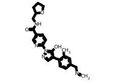 C=NCc1ccc(-c2cnn(-c3ccc(C(=O)NCC4CCCO4)cn3)c2O)c(C)c1